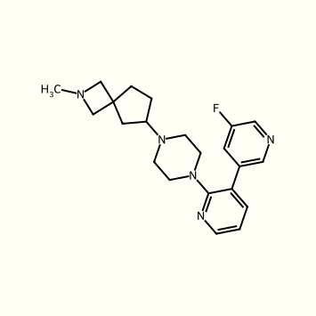 CN1CC2(CCC(N3CCN(c4ncccc4-c4cncc(F)c4)CC3)C2)C1